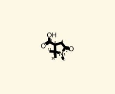 CN1C(=O)CC(C(=O)O)C1(C)C